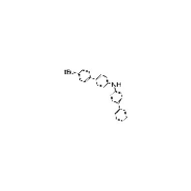 CC(C)(C)c1ccc(-c2ccc(Nc3ccc(-c4ccccc4)cc3)cc2)cc1